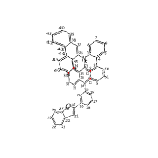 c1ccc(-c2ccccc2N(c2ccc(-c3cccc(-c4cc5ccccc5o4)c3)c3ccccc23)c2cc3ccccc3c3ccccc23)cc1